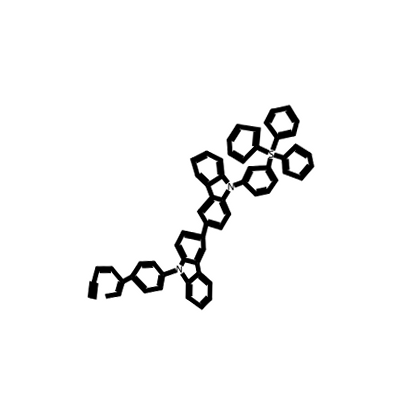 C#C/C=C\C(=C/C)c1ccc(-n2c3ccccc3c3cc(-c4ccc5c(c4)c4ccccc4n5-c4cccc(S(c5ccccc5)(c5ccccc5)c5ccccc5)c4)ccc32)cc1